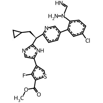 COC(=O)c1scc(-c2cnc([C@@H](CC3CC3)c3ccc(-c4cc(Cl)ccc4N(N)C=N)cn3)[nH]2)c1F